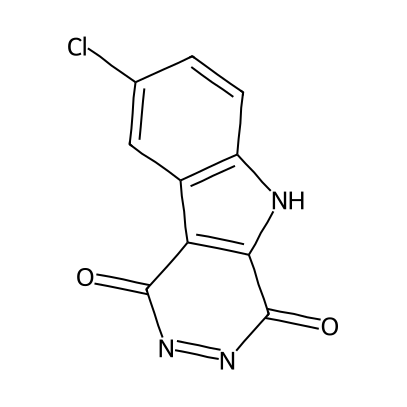 O=C1N=NC(=O)c2c1[nH]c1ccc(Cl)cc21